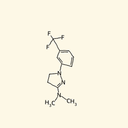 CN(C)C1=NN(c2cccc(C(F)(F)F)c2)CC1